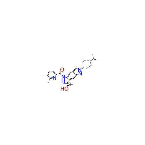 Cc1cccc(C(=O)Nc2cc3cn(C4CCC(C(C)C)CC4)nc3cc2[Si](C)(C)O)n1